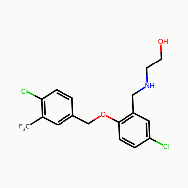 OCCNCc1cc(Cl)ccc1OCc1ccc(Cl)c(C(F)(F)F)c1